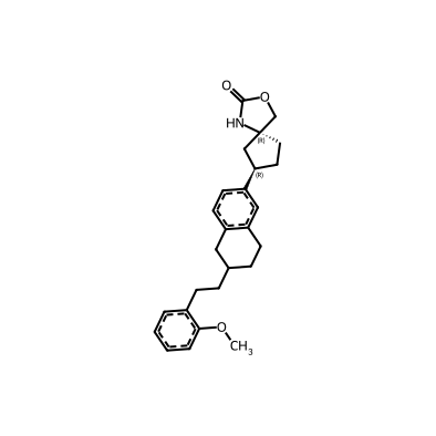 COc1ccccc1CCC1CCc2cc([C@@H]3CC[C@]4(COC(=O)N4)C3)ccc2C1